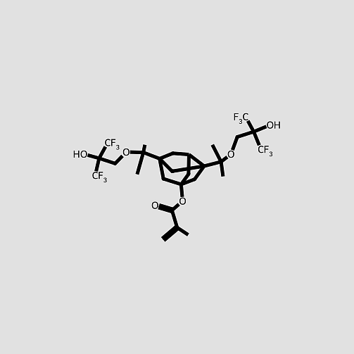 C=C(C)C(=O)OC12CC3CC(C(C)(C)OCC(O)(C(F)(F)F)C(F)(F)F)(C1)CC3(C(C)(C)OCC(O)(C(F)(F)F)C(F)(F)F)C2